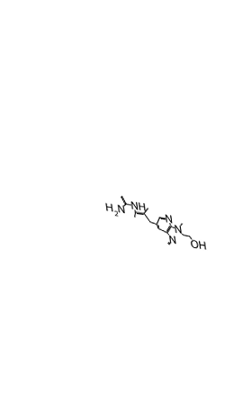 C=Nc1cc(C/C(C)=C(\C)NC(=C)N)cnc1N(C)CCO